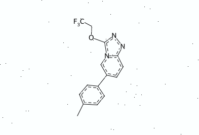 Cc1ccc(-c2ccc3nnc(OCC(F)(F)F)n3c2)cc1